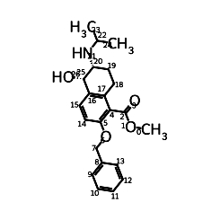 COC(=O)c1c(OCc2ccccc2)ccc2c1CC[C@@H](NC(C)C)[C@H]2O